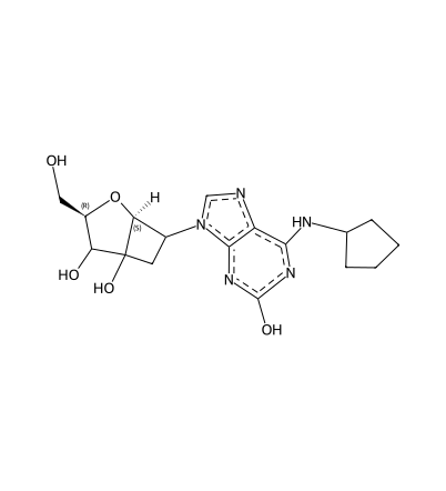 OC[C@H]1O[C@H]2C(n3cnc4c(NC5CCCC5)nc(O)nc43)CC2(O)C1O